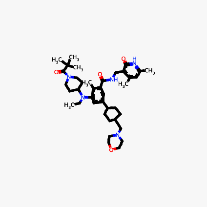 CCN(c1cc(C2CCC(CN3CCOCC3)CC2)cc(C(=O)NCc2c(C)cc(C)[nH]c2=O)c1C)C1CCN(C(=O)C(C)(C)C)CC1